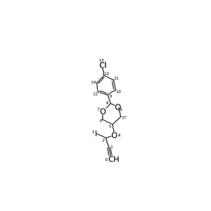 C#CC(I)OC1COC(c2ccc(Cl)cc2)OC1